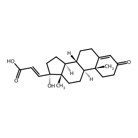 C[C@]12CCC(=O)C=C1CC[C@@H]1[C@@H]2CC[C@@]2(C)[C@H]1CC[C@]2(O)C=CC(=O)O